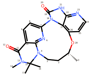 C[C@@H]1CCN2c3nc(ccc3C(=O)N(C)C2(C)C)-n2c(=O)[nH]c3nccc(c32)O1